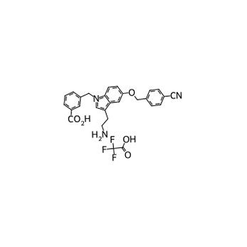 N#Cc1ccc(COc2ccc3c(c2)c(CCN)cn3Cc2cccc(C(=O)O)c2)cc1.O=C(O)C(F)(F)F